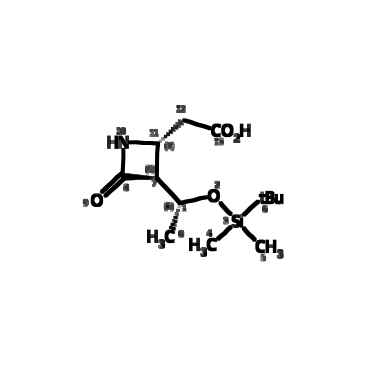 C[C@@H](O[Si](C)(C)C(C)(C)C)[C@H]1C(=O)N[C@@H]1CC(=O)O